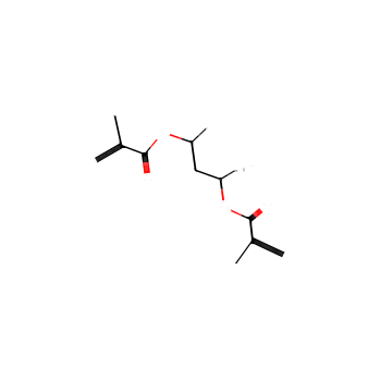 C=C(C)C(=O)OC(CC)CC(CCC)OC(=O)C(=C)C